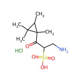 CC1C(C)(C)C1(C)C(=O)C(CN)S(=O)(=O)O.Cl